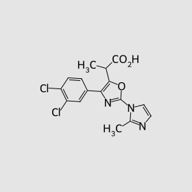 Cc1nccn1-c1nc(-c2ccc(Cl)c(Cl)c2)c(C(C)C(=O)O)o1